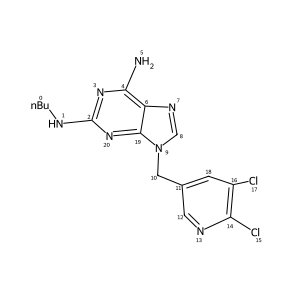 CCCCNc1nc(N)c2ncn(Cc3cnc(Cl)c(Cl)c3)c2n1